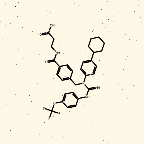 N=C(Nc1ccc(OC(F)(F)F)cc1)N(Cc1ccc(C(=O)NCCC(=O)O)cc1)c1ccc(C2CCCCC2)cc1